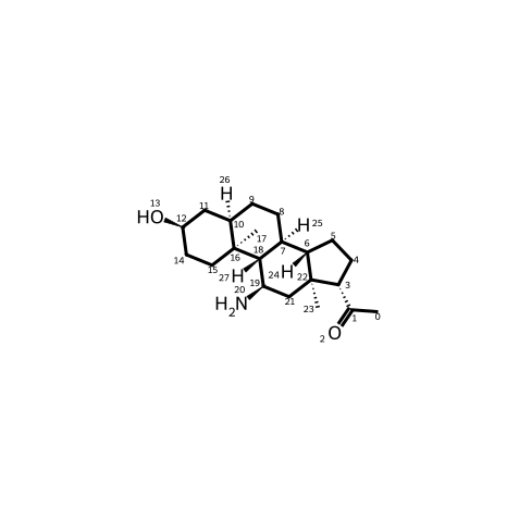 CC(=O)[C@H]1CC[C@H]2[C@@H]3CC[C@@H]4C[C@H](O)CC[C@]4(C)[C@H]3[C@H](N)C[C@]12C